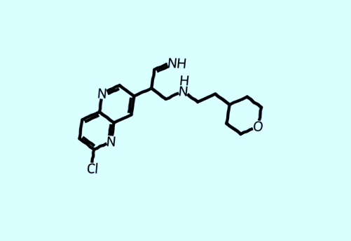 N=CC(CNCCC1CCOCC1)c1cnc2ccc(Cl)nc2c1